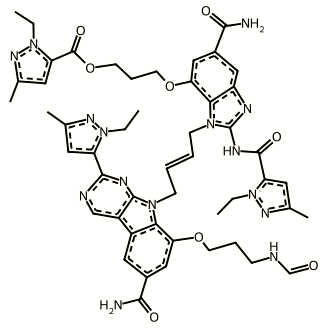 CCn1nc(C)cc1C(=O)Nc1nc2cc(C(N)=O)cc(OCCCOC(=O)c3cc(C)nn3CC)c2n1C/C=C/Cn1c2nc(-c3cc(C)nn3CC)ncc2c2cc(C(N)=O)cc(OCCCNC=O)c21